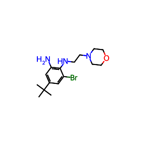 CC(C)(C)c1cc(N)c(NCCN2CCOCC2)c(Br)c1